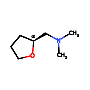 CN(C)C[C@@H]1CCCO1